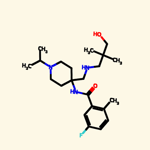 Cc1ccc(F)cc1C(=O)NC1(CNCC(C)(C)CO)CCN(C(C)C)CC1